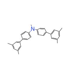 Cc1cc(C)cc(-c2ccc(N(C)c3ccc(-c4cc(C)cc(C)c4)cc3)cc2)c1